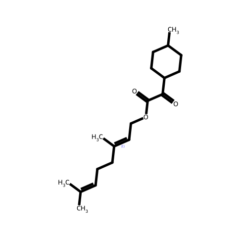 CC(C)=CCC/C(C)=C/COC(=O)C(=O)C1CCC(C)CC1